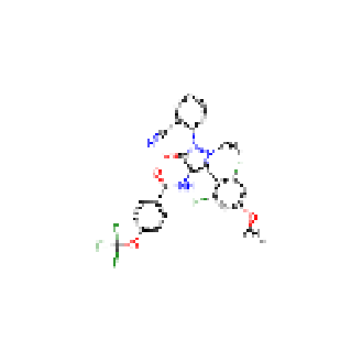 COc1cc(F)c(-c2c(NC(=O)c3ccc(OC(F)(F)F)cc3)c(=O)n(-c3ccccc3C#N)n2C)c(F)c1